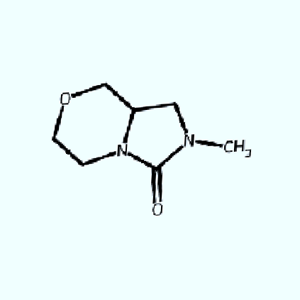 CN1CC2COCCN2C1=O